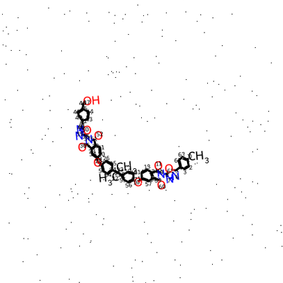 Cc1ccc(-c2nnc(N3C(=O)c4ccc(Oc5ccc(C(C)(C)c6ccc(Oc7ccc8c(c7)C(=O)N(c7nnc(-c9ccc(CO)cc9)o7)C8=O)cc6)cc5)cc4C3=O)o2)cc1